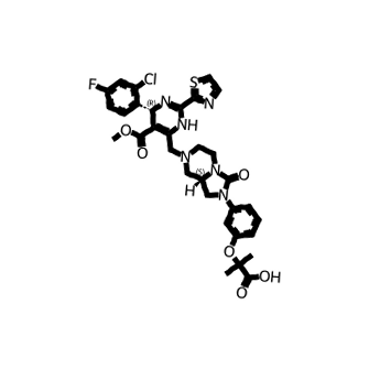 COC(=O)C1=C(CN2CCN3C(=O)N(c4cccc(OC(C)(C)C(=O)O)c4)C[C@@H]3C2)NC(c2nccs2)=N[C@H]1c1ccc(F)cc1Cl